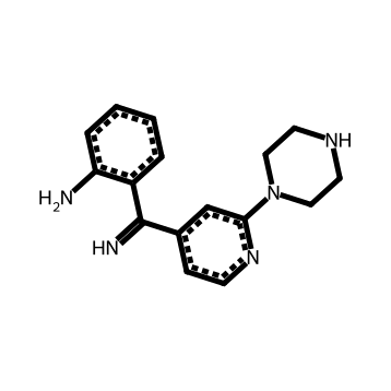 N=C(c1ccnc(N2CCNCC2)c1)c1ccccc1N